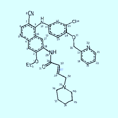 CCOc1cc2ncc(C#N)c(Nc3ccc(OCc4ccccn4)c(Cl)c3)c2cc1NC(=O)/C=C/CN1CCCCC1